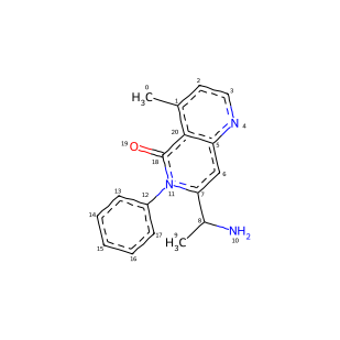 Cc1ccnc2cc(C(C)N)n(-c3ccccc3)c(=O)c12